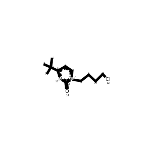 CC(C)(C)c1ccn(CCCCCl)c(=O)n1